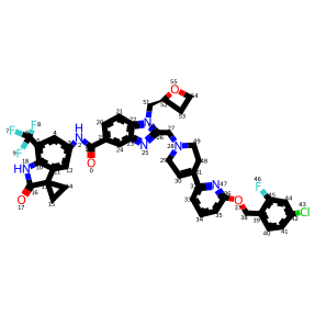 O=C(Nc1cc(C(F)(F)F)c2c(c1)C1(CC1)C(=O)N2)c1ccc2c(c1)nc(CN1CC=C(c3cccc(OCc4ccc(Cl)cc4F)n3)CC1)n2C[C@@H]1CCO1